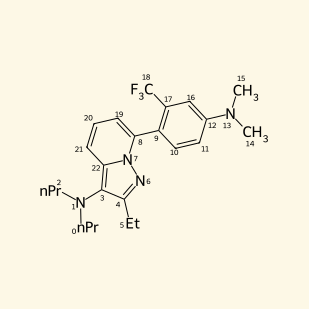 CCCN(CCC)c1c(CC)nn2c(-c3ccc(N(C)C)cc3C(F)(F)F)cccc12